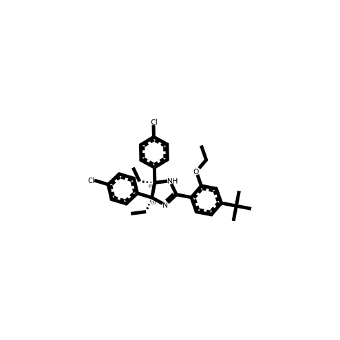 CCOc1cc(C(C)(C)C)ccc1C1=N[C@@](CC)(c2ccc(Cl)cc2)[C@@](CC)(c2ccc(Cl)cc2)N1